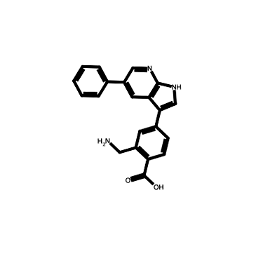 NCc1cc(-c2c[nH]c3ncc(-c4ccccc4)cc23)ccc1C(=O)O